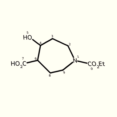 CCOC(=O)N1CCC(O)C(C(=O)O)CC1